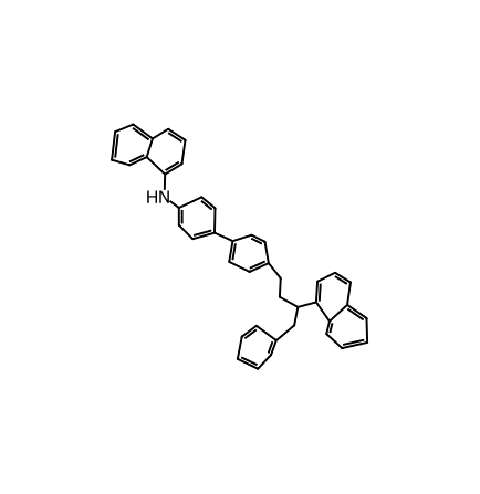 c1ccc(CC(CCc2ccc(-c3ccc(Nc4cccc5ccccc45)cc3)cc2)c2cccc3ccccc23)cc1